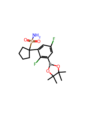 CC1(C)OB(c2cc(F)cc(C3(S(N)(=O)=O)CCCC3)c2F)OC1(C)C